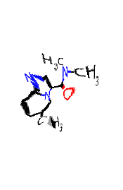 Cc1ccc2ncc(C(=O)N(C)C)n2c1